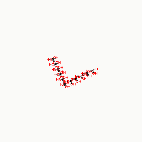 OB(O)O.OB(O)O.OB(O)O.OB(O)O.OB(O)O.OB(O)O.OB(O)O.OB(O)O.OB(O)O.OB(O)O.OB(O)O